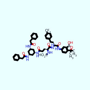 CC1(C)OB(O)c2cc(NC(=O)[C@@H](CCc3ccc(C(F)(F)F)cc3)NC(=O)[C@H](CCC(=O)N[C@H]3C[C@@H](NC(=O)Cc4ccccc4)C[C@@H](NC(=O)Cc4ccccc4)C3)NC(=O)O)ccc21